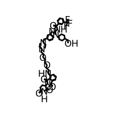 O=C1CCC(N2C(=O)c3cccc(NCCOCCOCCN4CCN(Cc5ccc6c(c5)nc(NC(=O)c5cccc(C(F)(F)F)c5)n6C5CCC(CO)CC5)CC4)c3C2=O)C(=O)N1